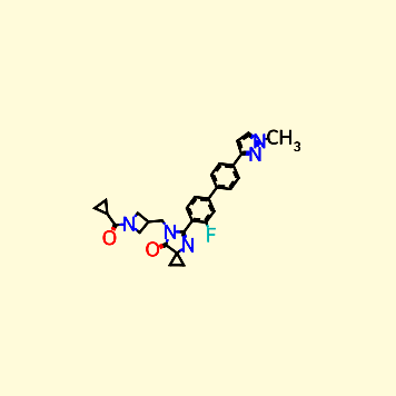 Cn1ccc(-c2ccc(-c3ccc(C4=NC5(CC5)C(=O)N4CC4CN(C(=O)C5CC5)C4)c(F)c3)cc2)n1